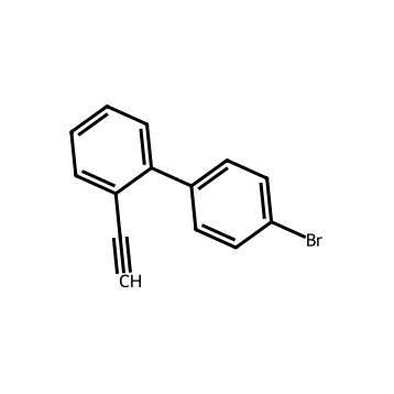 C#Cc1ccccc1-c1ccc(Br)cc1